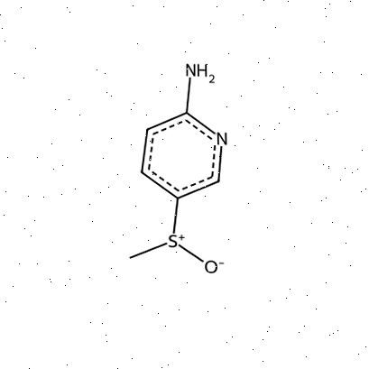 C[S+]([O-])c1ccc(N)nc1